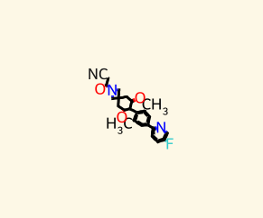 Cc1cc(-c2ccc(F)cn2)cc(C)c1C1C(=O)CC2(CC1=O)CN(C(=O)CC#N)C2